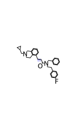 O=C(/C=C/c1cccc2c1CCN(CC1CC1)C2)N(CCc1ccc(F)cc1)Cc1ccccc1